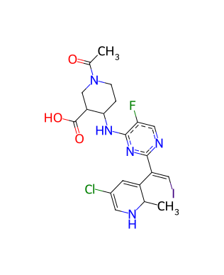 CC(=O)N1CCC(Nc2nc(/C(=C/I)C3=CC(Cl)=CNC3C)ncc2F)C(C(=O)O)C1